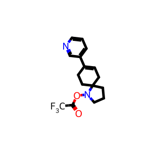 O=C(ON1CCCC12CC=C(c1cccnc1)CC2)C(F)(F)F